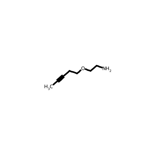 CC#CCCOCCN